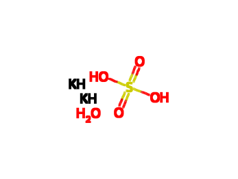 O.O=S(=O)(O)O.[KH].[KH]